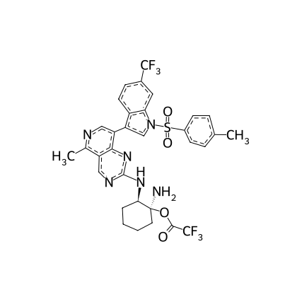 Cc1ccc(S(=O)(=O)n2cc(-c3cnc(C)c4cnc(N[C@@H]5CCCC[C@]5(N)OC(=O)C(F)(F)F)nc34)c3ccc(C(F)(F)F)cc32)cc1